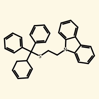 C1=CCC(C(SCCn2c3ccccc3c3ccccc32)(c2ccccc2)c2ccccc2)C=C1